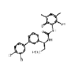 CCOC(=O)CC(NC(=O)Nc1c(O)c(C)cn(C)c1=O)c1cccc(-c2ccc(Cl)c(Cl)c2)c1